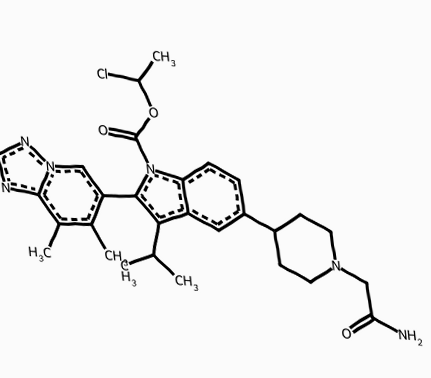 Cc1c(-c2c(C(C)C)c3cc(C4CCN(CC(N)=O)CC4)ccc3n2C(=O)OC(C)Cl)cn2ncnc2c1C